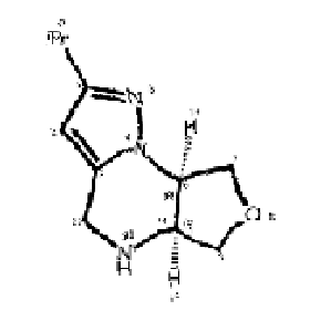 CC(C)c1cc2n(n1)[C@H]1COC[C@H]1NC2